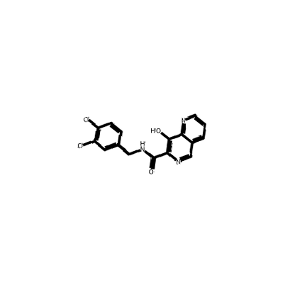 O=C(NCc1ccc(Cl)c(Cl)c1)c1ncc2cccnc2c1O